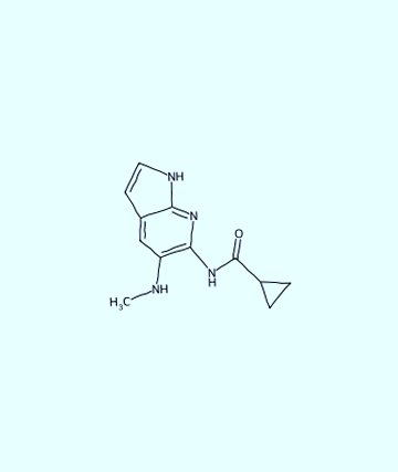 CNc1cc2cc[nH]c2nc1NC(=O)C1CC1